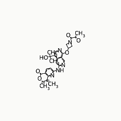 CC(=O)C(=O)N1CC(Oc2ncc(C(C)(C)O)c3cc(Nc4ccc5c(n4)[C@@H](C)[C@H](C)OC5=O)ncc23)C1